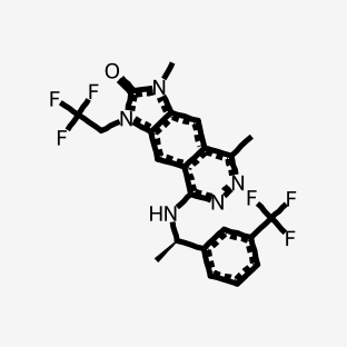 Cc1nnc(N[C@H](C)c2cccc(C(F)(F)F)c2)c2cc3c(cc12)n(C)c(=O)n3CC(F)(F)F